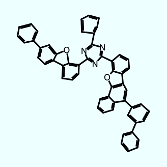 c1ccc(-c2cccc(-c3cc4c5cccc(-c6nc(-c7ccccc7)nc(-c7cccc8c7oc7cc(-c9ccccc9)ccc78)n6)c5oc4c4ccccc34)c2)cc1